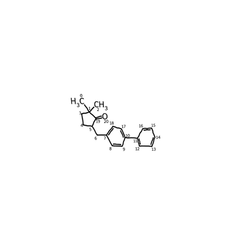 CC1(C)CCC(Cc2ccc(-c3ccccc3)cc2)C1=O